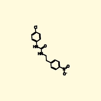 O=C(NCCc1ccc([N+](=O)[O-])cc1)Nc1ccc(Cl)cc1